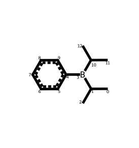 CC(C)B(c1ccccc1)C(C)C